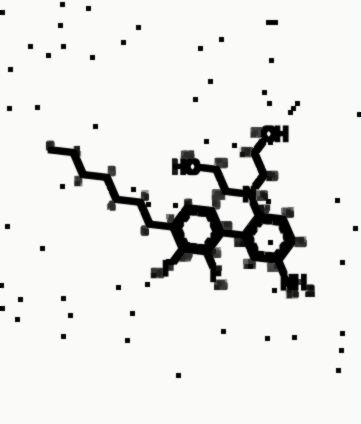 CCCCCCCc1ccc(-c2cc(N)ccc2N(CCO)CCO)c(F)c1F